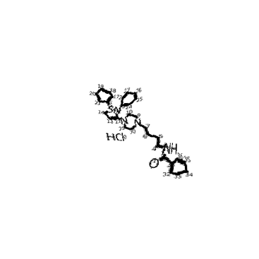 Cl.O=C(NCCCCN1CCN(C2=CC=S(c3ccccc3)N2c2ccccc2)CC1)c1ccccc1